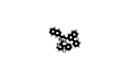 c1ccc(-c2cc(-c3cc(-c4ccc5ccccc5c4)nc(-c4nccc5oc6ccccc6c45)n3)cc3ccccc23)cc1